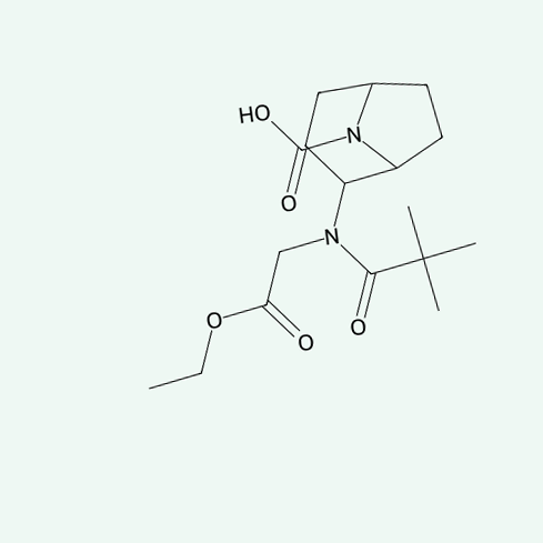 CCOC(=O)CN(C(=O)C(C)(C)C)C1CCC2CCC1N2C(=O)O